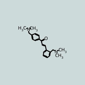 CN(C)Cc1ccc(C(=O)C=Cc2ccccc2CN(C)C)cc1